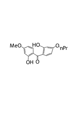 CCCOc1ccc(C(=O)c2ccc(OC)cc2O)c(O)c1